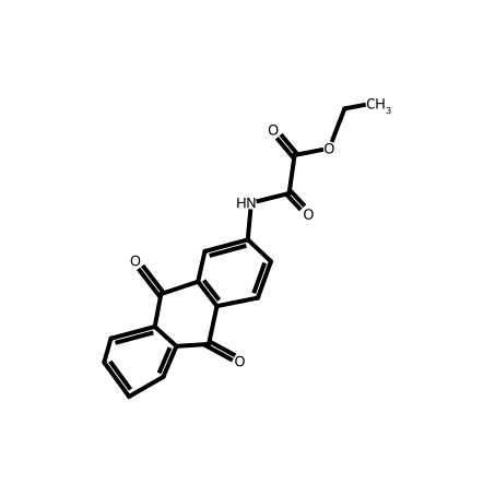 CCOC(=O)C(=O)Nc1ccc2c(c1)C(=O)c1ccccc1C2=O